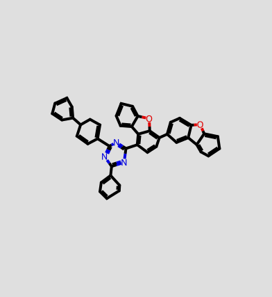 C1=CC(c2ccccc2)CC=C1c1nc(-c2ccccc2)nc(-c2ccc(-c3ccc4oc5ccccc5c4c3)c3oc4ccccc4c23)n1